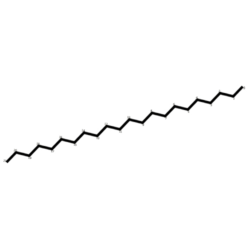 [CH2]CCC[CH]CCCCCCCCCCCCCCCCC